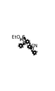 CCOC(=O)CNc1ccc(Cc2cccc(OCc3ccccc3)c2C#N)cc1OCc1ccccc1